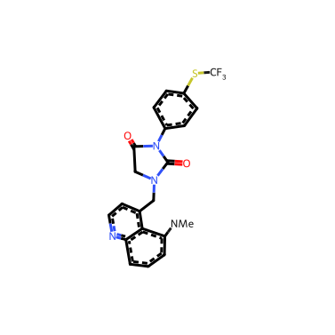 CNc1cccc2nccc(CN3CC(=O)N(c4ccc(SC(F)(F)F)cc4)C3=O)c12